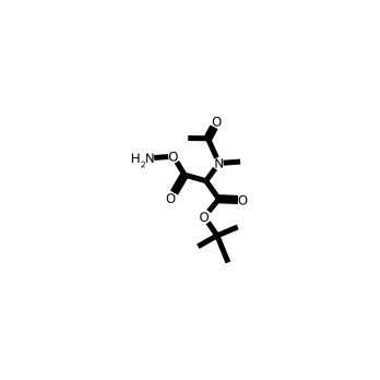 CC(=O)N(C)C(C(=O)ON)C(=O)OC(C)(C)C